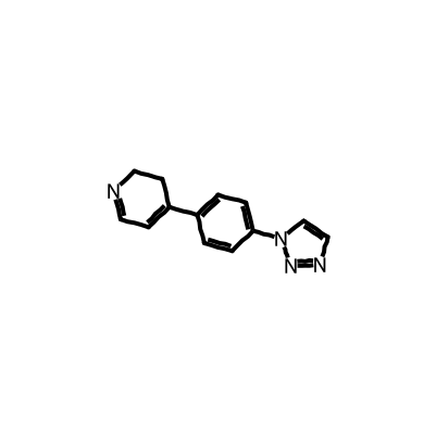 C1=NCCC(c2ccc(-n3ccnn3)cc2)=C1